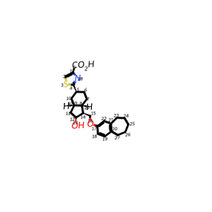 O=C(O)c1csc([C@H]2CC[C@H]3[C@@H](C2)C[C@H](O)[C@@H]3COc2ccc3c(c2)CCCCC3)n1